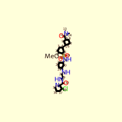 COc1ccc(-c2cccc(C(=O)N(C)C)c2)cc1S(=O)(=O)Nc1cccc(NCCNC(=O)c2ncccc2Cl)c1